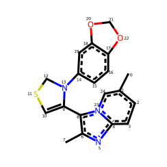 Cc1ccc2nc(C)c(C3=CSCN3c3ccc4c(c3)OCO4)n2c1